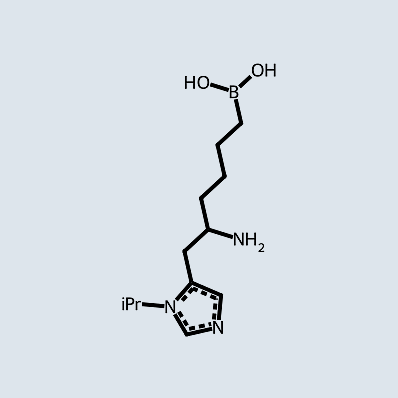 CC(C)n1cncc1CC(N)CCCCB(O)O